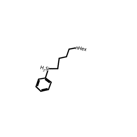 CCCCCCCCCC[SiH2]c1ccccc1